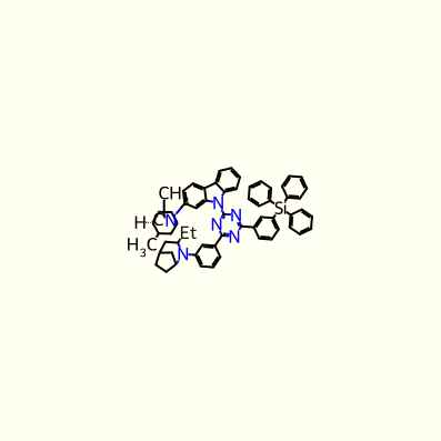 CCC1CC2CCC(C2)N1c1cccc(-c2nc(-c3cccc([Si](c4ccccc4)(c4ccccc4)c4ccccc4)c3)nc(-n3c4ccccc4c4ccc(N5C(C)C[C@@H]6CCC5CC6C)cc43)n2)c1